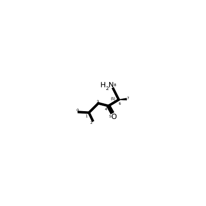 C[C](C)CC(=O)[C@H](C)N